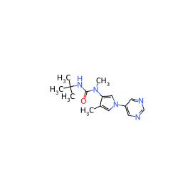 Cc1cn(-c2cncnc2)cc1N(C)C(=O)NC(C)(C)C